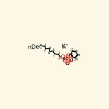 CCCCCCCCCCCCCCCCCCOOP(=O)([O-])Oc1ccccc1.[K+]